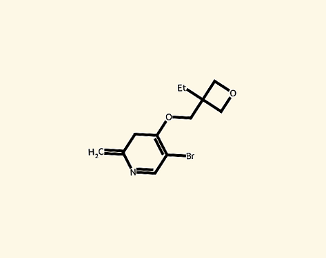 C=C1CC(OCC2(CC)COC2)=C(Br)C=N1